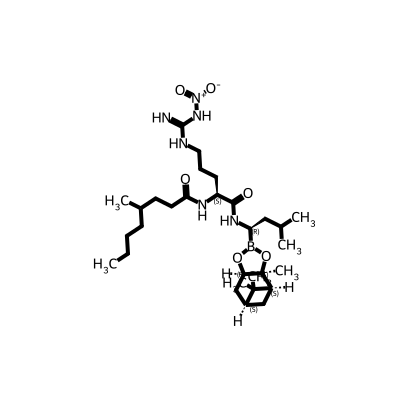 CCCCC(C)CCC(=O)N[C@@H](CCCNC(=N)N[N+](=O)[O-])C(=O)N[C@@H](CC(C)C)B1O[C@@H]2C[C@@H]3C[C@@H](C3(C)C)[C@]2(C)O1